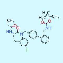 CCC(=O)N[C@@H]1CCc2cc(F)ccc2N(Cc2ccc(-c3ccccc3CNC(=O)OC(C)(C)C)cc2)C1=O